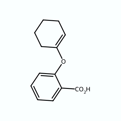 O=C(O)c1ccccc1OC1=CCCCC1